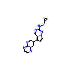 c1cnc2ncc(-c3ccn4nc(NCC5CC5)ncc34)cc2n1